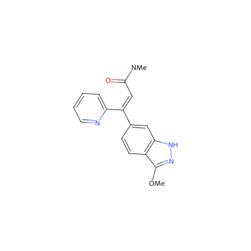 CNC(=O)C=C(c1ccc2c(OC)n[nH]c2c1)c1ccccn1